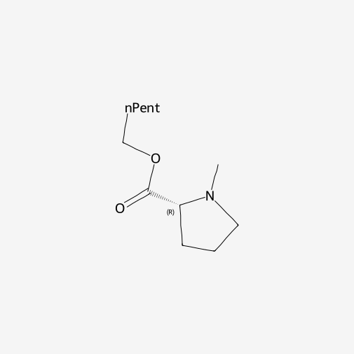 CCCCCCOC(=O)[C@H]1CCCN1C